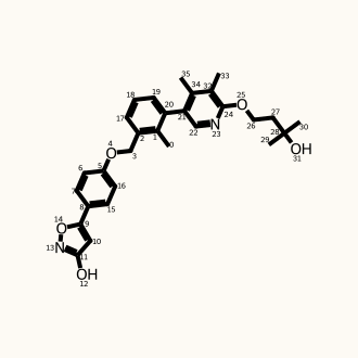 Cc1c(COc2ccc(-c3cc(O)no3)cc2)cccc1-c1cnc(OCCC(C)(C)O)c(C)c1C